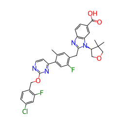 Cc1cc(Cc2nc3ccc(C(=O)O)cc3n2[C@@H]2COCC2(C)C)c(F)cc1-c1ccnc(OCc2ccc(Cl)cc2F)n1